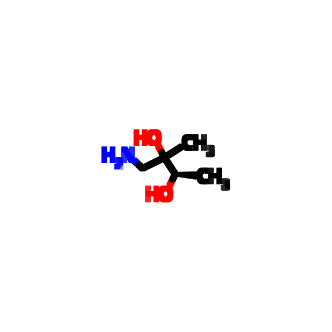 C[C@@H](O)C(C)(O)CN